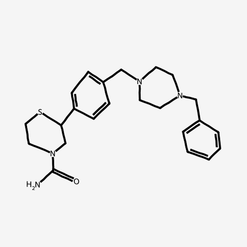 NC(=O)N1CCSC(c2ccc(CN3CCN(Cc4ccccc4)CC3)cc2)C1